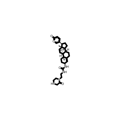 C[C@]12CC[C@H](NC(=O)NCCN3CCNCC3=O)C=C1CC[C@@H]1[C@@H]2CC[C@]2(C)[C@@H](c3ccc(=O)oc3)CC[C@]12O